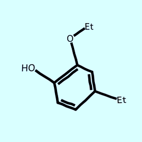 [CH2]Cc1ccc(O)c(OCC)c1